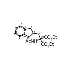 CCOC(=O)C(CC1Cc2ccccc2C1)(NC(C)=O)C(=O)OCC